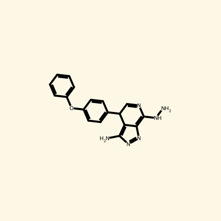 NNC1=C2N=NC(N)=C2C(c2ccc(Oc3ccccc3)cc2)C=N1